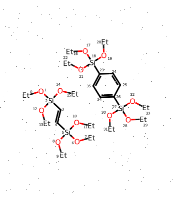 CCO[Si](C=C[Si](OCC)(OCC)OCC)(OCC)OCC.CCO[Si](OCC)(OCC)c1ccc([Si](OCC)(OCC)OCC)cc1